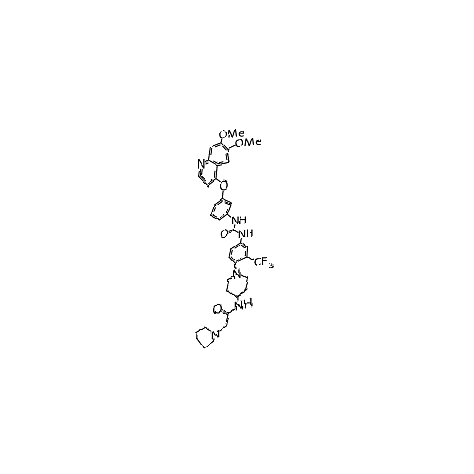 COc1cc2nccc(Oc3cccc(NC(=O)Nc4ccc(N5CCC(NC(=O)CN6CCCCC6)CC5)c(C(F)(F)F)c4)c3)c2cc1OC